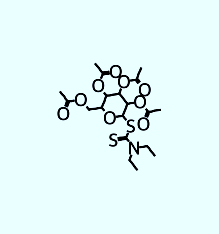 CCN(CC)C(=S)SC1OC(COC(C)=O)C(OC(C)=O)C(OC(C)=O)C1OC(C)=O